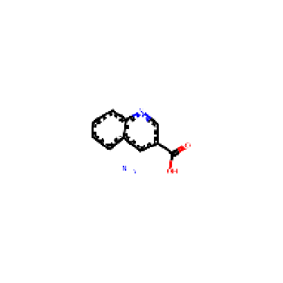 N.O=C(O)c1cnc2ccccc2c1